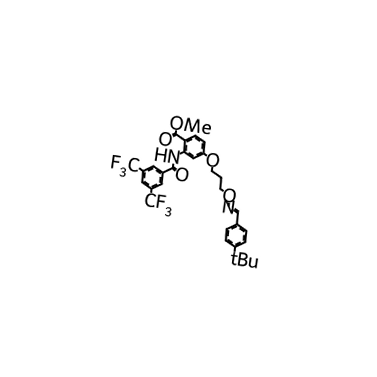 COC(=O)c1ccc(OCCCON=Cc2ccc(C(C)(C)C)cc2)cc1NC(=O)c1cc(C(F)(F)F)cc(C(F)(F)F)c1